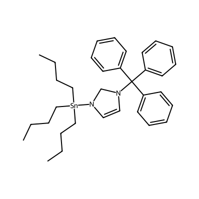 CCC[CH2][Sn]([CH2]CCC)([CH2]CCC)[N]1C=CN(C(c2ccccc2)(c2ccccc2)c2ccccc2)C1